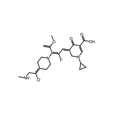 C=C(OC)/C(=C(F)\C=C1/CN(C2CC2)C=C(C(=O)O)C1=O)N1CCC(=C(Cl)CNC)CC1